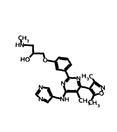 CNCC(O)COc1cccc(-c2nc(Nc3cncnc3)c(C)c(-c3c(C)noc3C)n2)c1